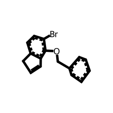 Brc1ccc2c(c1OCc1ccccc1)C=CC2